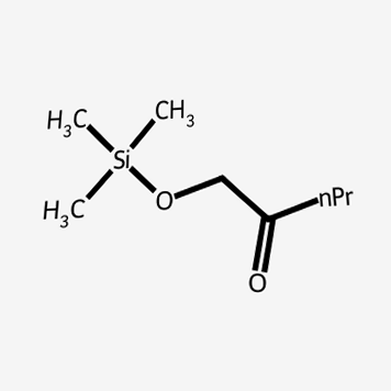 CCCC(=O)CO[Si](C)(C)C